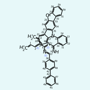 C=C/C=C(C=C)/C(=N/C(=N)c1ccccc1-n1c2ccccc2c2cc3oc4ccccc4c3cc21)/N=C/c1ccc(-c2ccccc2)cc1